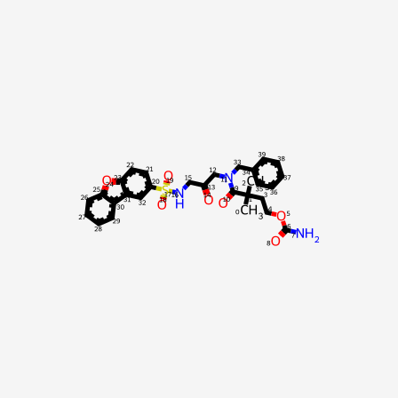 CC(C)(CCOC(N)=O)C(=O)N(CC(=O)CNS(=O)(=O)c1ccc2oc3ccccc3c2c1)Cc1ccccc1